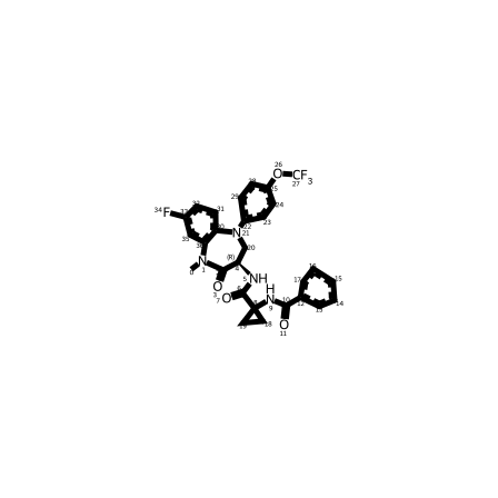 CN1C(=O)[C@H](NC(=O)C2(NC(=O)c3ccccc3)CC2)CN(c2ccc(OC(F)(F)F)cc2)c2ccc(F)cc21